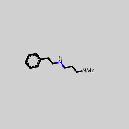 CNCCCNCCc1ccccc1